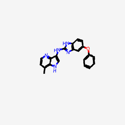 Cc1ccnc2c(Nc3nc4cc(Oc5ccccc5)ccc4[nH]3)c[nH]c12